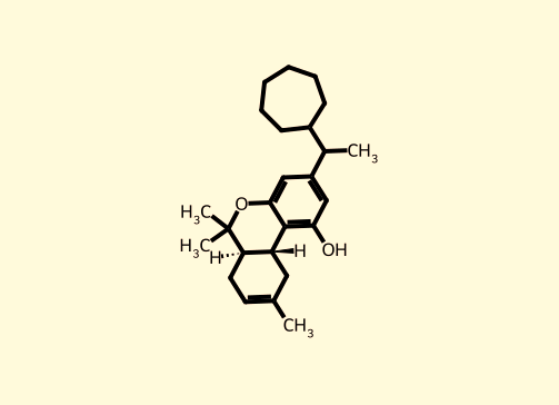 CC1=CC[C@@H]2[C@@H](C1)c1c(O)cc(C(C)C3CCCCCC3)cc1OC2(C)C